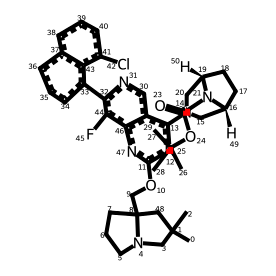 CC1(C)CN2CCCC2(COc2nc(N3C[C@H]4CC[C@@H](C3)N4C(=O)OC(C)(C)C)c3cnc(-c4cccc5cccc(Cl)c45)c(F)c3n2)C1